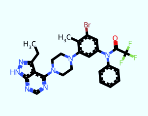 CCc1n[nH]c2ncnc(N3CCN(c4cc(N(C(=O)C(F)(F)F)c5ccccc5)cc(Br)c4C)CC3)c12